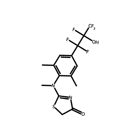 Cc1cc(C(F)(F)C(O)(F)C(F)(F)F)cc(C)c1N(C)C1=NC(=O)CS1